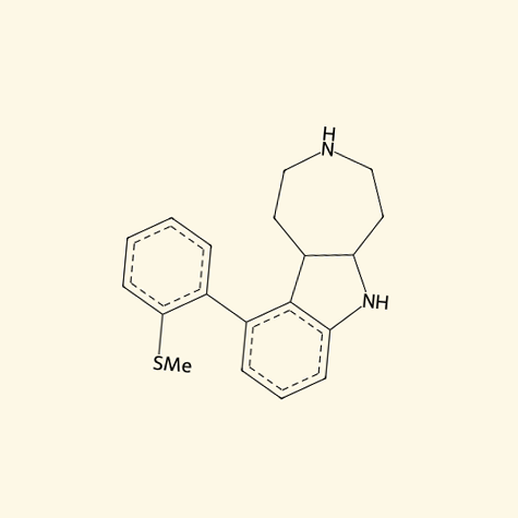 CSc1ccccc1-c1cccc2c1C1CCNCCC1N2